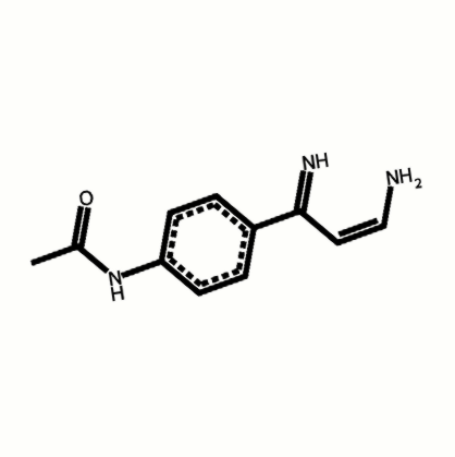 CC(=O)Nc1ccc(C(=N)/C=C\N)cc1